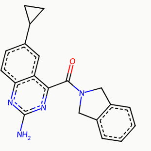 Nc1nc(C(=O)N2Cc3ccccc3C2)c2cc(C3CC3)ccc2n1